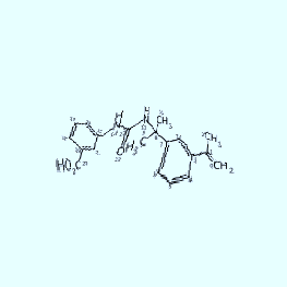 C=C(C)c1cccc(C(C)(C)NC(=O)Nc2cccc(C(=O)O)c2)c1